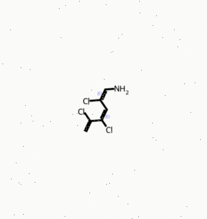 C=C(Cl)/C(Cl)=C\C(Cl)=C/N